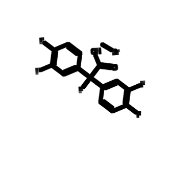 CBr.O=C(O)C(F)(c1ccc(F)c(F)c1)c1ccc(F)c(F)c1